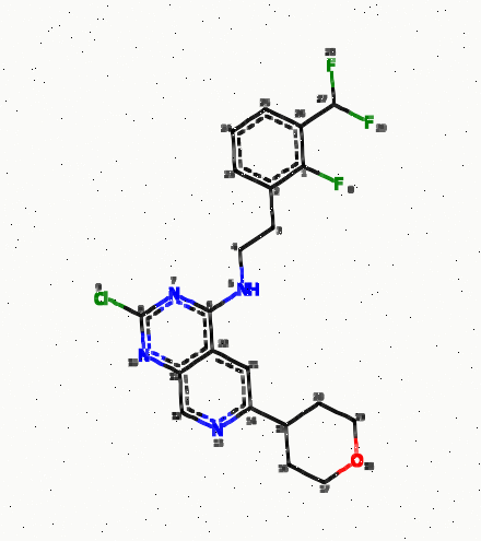 Fc1c(CCNc2nc(Cl)nc3cnc(C4CCOCC4)cc23)cccc1C(F)F